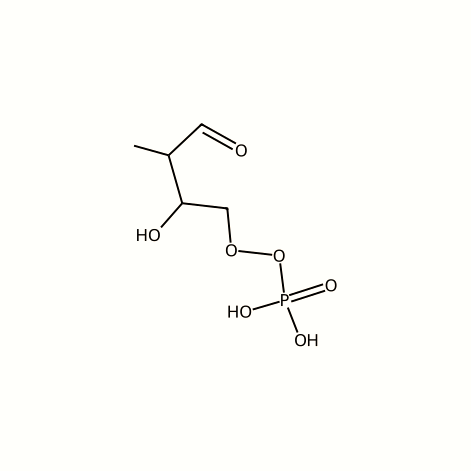 CC(C=O)C(O)COOP(=O)(O)O